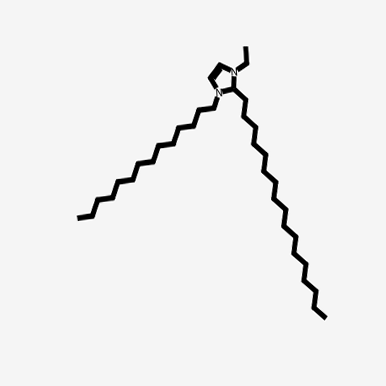 CCCCCCCCCCCCCCCCCC1N(CC)C=CN1CCCCCCCCCCCCCC